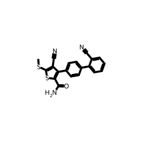 CSc1sc(C(N)=O)c(-c2ccc(-c3ccccc3C#N)cc2)c1C#N